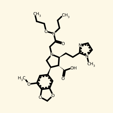 CCCON(CCC)C(=O)CN1C[C@H](c2cc(OC)c3c(c2)OCO3)[C@@H](C(=O)O)[C@@H]1CCc1nccn1C